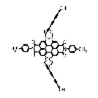 C#CC#CC#CC#CCOc1cc2c3c(cc(OCC#CC#CC#CC#C)c4c5c(OCC)cc6c7c(cc(OCC)c(c1c34)c75)C(=O)N(c1ccc(C)cc1)C6=O)C(=O)N(c1ccc(C)cc1)C2=O